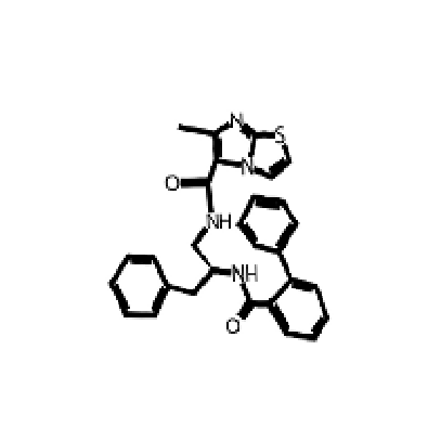 Cc1nc2sccn2c1C(=O)NC[C@H](Cc1ccccc1)NC(=O)c1ccccc1-c1ccccc1